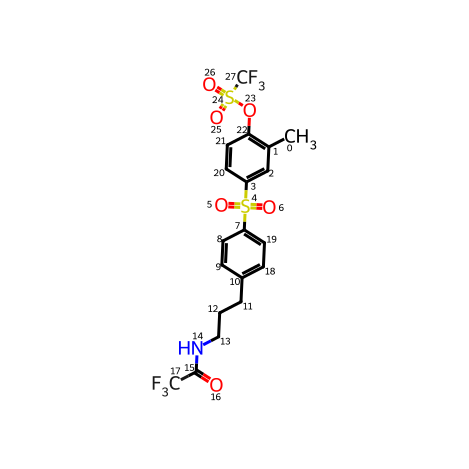 Cc1cc(S(=O)(=O)c2ccc(CCCNC(=O)C(F)(F)F)cc2)ccc1OS(=O)(=O)C(F)(F)F